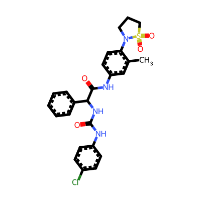 Cc1cc(NC(=O)C(NC(=O)Nc2ccc(Cl)cc2)c2ccccc2)ccc1N1CCCS1(=O)=O